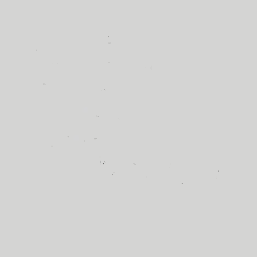 C=C(C)C(=O)OCC(CO)(CO)CO.C=C(C)C(=O)OCC(CO)(CO)CO.O=C(O)/C=C\C(=O)O.O=C(O)/C=C\C(=O)O.[KH]